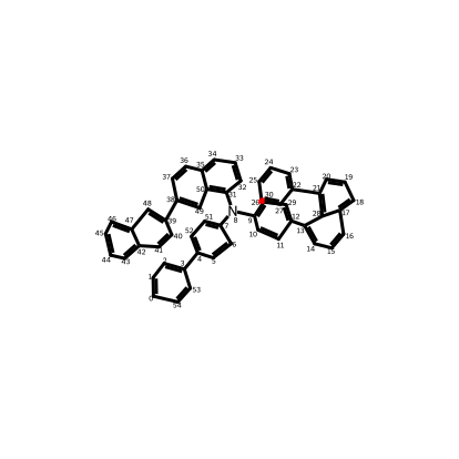 c1ccc(-c2ccc(N(c3ccc(-c4cccc5cccc(-c6ccccc6)c45)cc3)c3cccc4ccc(-c5ccc6ccccc6c5)cc34)cc2)cc1